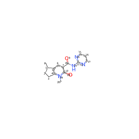 CC1CCc2c1cc(C(=O)Nc1ncccn1)c(=O)n2C